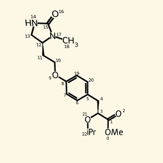 COC(=O)[C@H](Cc1ccc(OCC[C@H]2CNC(=O)N2C)cc1)OC(C)C